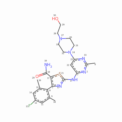 Cc1nc(Nc2nc(-c3c(C)cc(F)cc3C)c(C(N)=O)s2)cc(N2CCN(CCO)CC2)n1